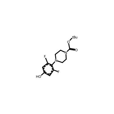 CC(C)(C)OC(=O)N1CCN(c2c(F)cc(O)cc2F)CC1